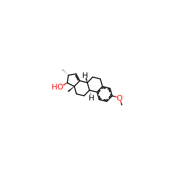 COc1ccc2c(c1)CC[C@H]1C3=C[C@@H](C)[C@H](O)[C@@]3(C)CC[C@H]21